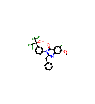 COc1cc2nc(Cc3ccccc3)n(-c3cccc(C(O)(C(F)(F)F)C(F)(F)F)c3)c(=O)c2cc1Cl